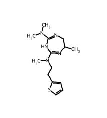 CC1CN=C(N(C)C)NC(N(C)CCc2cccs2)=N1